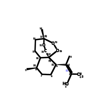 C/C(=C(/O)C(F)(F)F)[C@@H]1CC[C@@H](C)C2CC[C@@]3(C)OC[C@@]21OO3